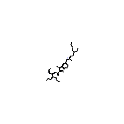 C=C(/C=C(/C=C\C)C(=C/CC)\CCC)c1sc2ccc(/C=C(\C)CCC(CC)CCCC)cc2c1C